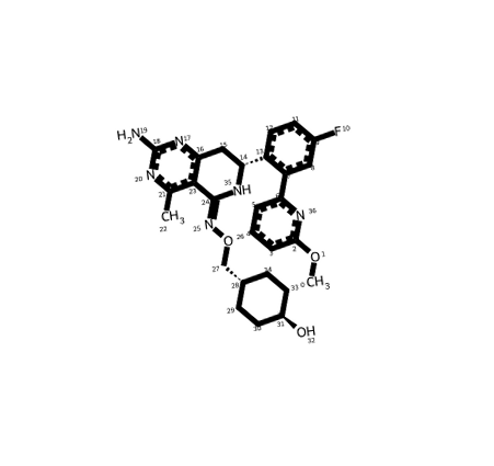 COc1cccc(-c2cc(F)ccc2[C@H]2Cc3nc(N)nc(C)c3/C(=N/OC[C@H]3CC[C@H](O)CC3)N2)n1